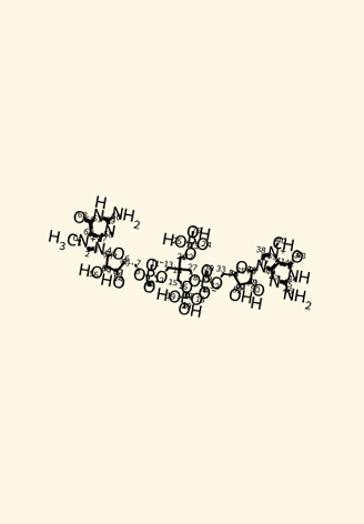 C[n+]1cn([C@@H]2O[C@H](COP(=O)([O-])OCC(COP(=O)(O)O)(COP(=O)(O)O)COP(=O)([O-])OC[C@H]3O[C@@H](n4c[n+](C)c5c(=O)[nH]c(N)nc54)[C@H](O)[C@@H]3O)[C@@H](O)[C@H]2O)c2nc(N)[nH]c(=O)c21